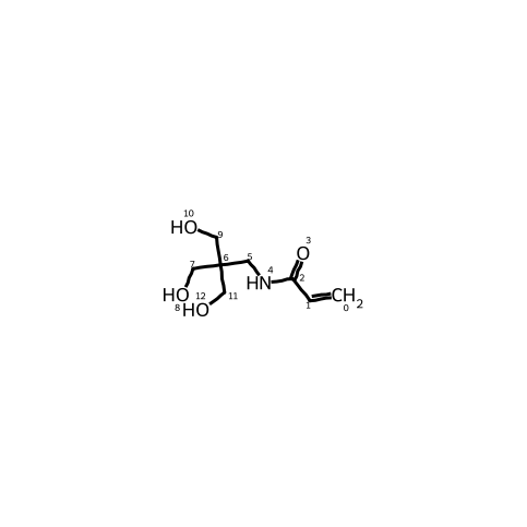 C=CC(=O)NCC(CO)(CO)CO